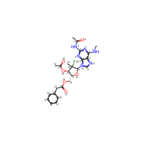 CNc1nc(NC(C)=O)nc2c1ncn2C1O[C@H](COC(=O)Cc2ccccc2)[C@@H](OC(C)=O)C1(C)F